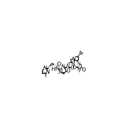 Cc1ccnc([C@H]2C[C@@H]2C(=O)Nc2ncc3oc(=O)n(Cc4cn5cc(C6CC6)cc(N6CC(=O)N(C)C6=O)c5n4)c3n2)n1